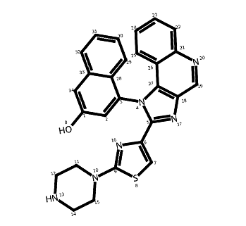 Oc1cc(-n2c(-c3csc(N4CCNCC4)n3)nc3cnc4ccccc4c32)c2ccccc2c1